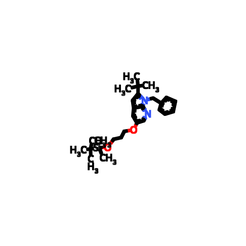 CC(C)(C)c1cc2cc(OCCCO[Si](C)(C)C(C)(C)C)cnc2n1Cc1ccccc1